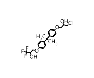 CC(C)(c1ccc(OCC(O)CCl)cc1)c1ccc(OCC(O)C(F)(F)F)cc1